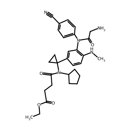 CCOC(=O)CCC(=O)N(C1CCCC1)C1(c2ccc(NC)c(N(C(=O)CN)c3ccc(C#N)cc3)c2)CC1